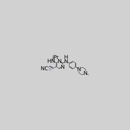 CC(C)Nc1nc(Nc2ccc(N3CCN(C)CC3)cc2)ncc1/C=C/C#N